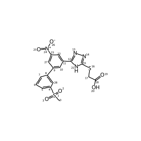 CS(=O)(=O)c1cccc(-c2cc(-c3nnc(SCC(=O)O)[nH]3)cc([N+](=O)[O-])c2)c1